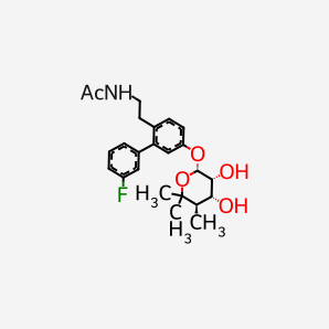 CC(=O)NCCc1ccc(O[C@H]2OC(C)(C)[C@H](C)[C@@H](O)[C@H]2O)cc1-c1cccc(F)c1